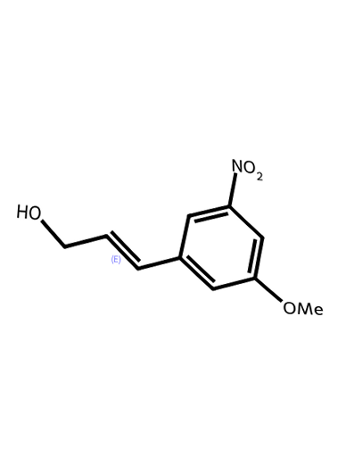 COc1cc(/C=C/CO)cc([N+](=O)[O-])c1